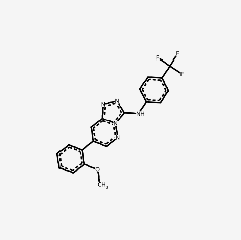 COc1ccccc1-c1cnn2c(Nc3ccc(C(F)(F)F)cc3)nnc2c1